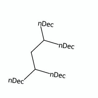 CCCCCCCCCCC(CCCCCCCCCC)CC(CCCCCCCCCC)CCCCCCCCCC